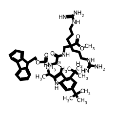 COC(=O)C(CCCNC(=N)N)(CCCNC(=N)N)CNC(=O)[C@H](Cc1c(C(C)C)[nH]c2cc(C(C)(C)C)cc(C(C)(C)C)c12)NC(=O)OCC1c2ccccc2-c2ccccc21